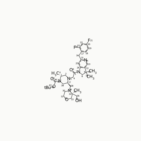 C[C@@H]1CN(CC(=O)N2CC(C)(C)c3cnc(Cc4ccc(F)cc4F)cc32)[C@@H](CN2CCOC[C@]2(C)CO)CN1C(=O)OC(C)(C)C